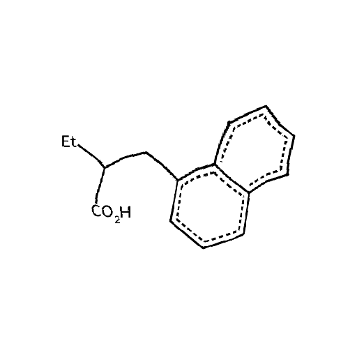 [CH2]CC(Cc1cccc2ccccc12)C(=O)O